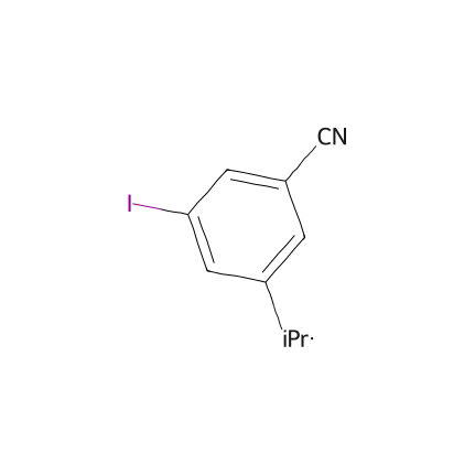 C[C](C)c1cc(I)cc(C#N)c1